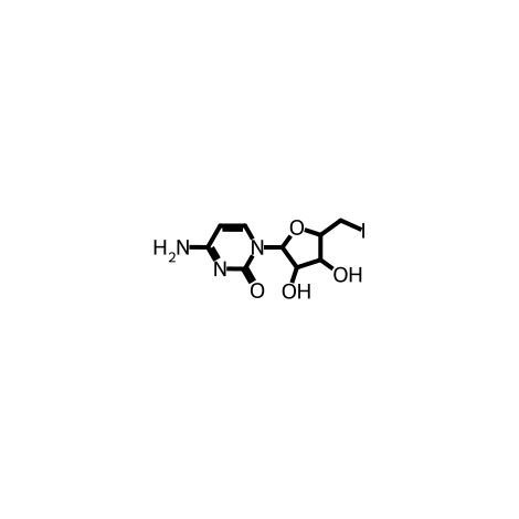 Nc1ccn(C2OC(CI)C(O)C2O)c(=O)n1